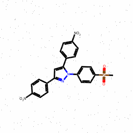 CS(=O)(=O)c1ccc(-n2nc(-c3ccc([N+](=O)[O-])cc3)cc2-c2ccc([N+](=O)[O-])cc2)cc1